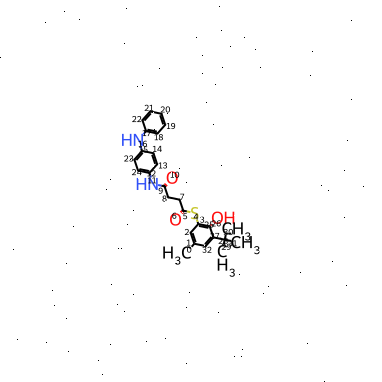 Cc1cc(SC(=O)CCC(=O)Nc2ccc(Nc3ccccc3)cc2)c(O)c(C(C)(C)C)c1